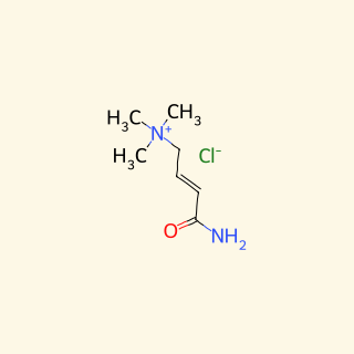 C[N+](C)(C)CC=CC(N)=O.[Cl-]